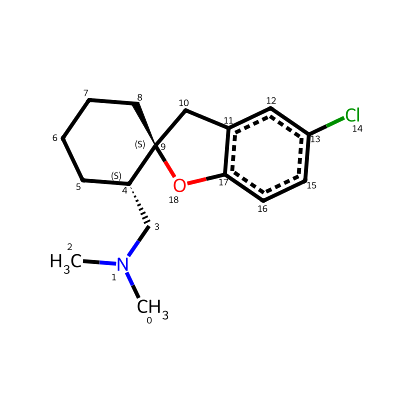 CN(C)C[C@@H]1CCCC[C@]12Cc1cc(Cl)ccc1O2